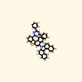 c1ccc(-c2cc(-c3ccccc3)nc(-c3cccc4oc5cc(-n6c7ccc8ccccc8c7c7c8ccccc8ccc76)c6ccccc6c5c34)n2)cc1